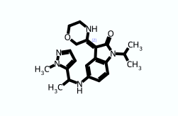 CC(Nc1ccc2c(c1)/C(=C1\COCCN1)C(=O)N2C(C)C)c1ccnn1C